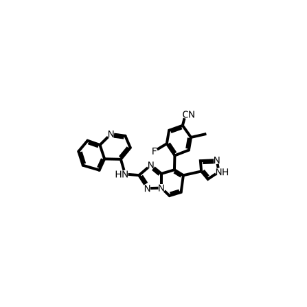 Cc1cc(-c2c(-c3cn[nH]c3)ccn3nc(Nc4ccnc5ccccc45)nc23)c(F)cc1C#N